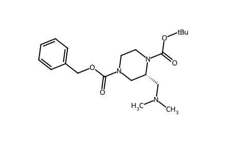 CN(C)C[C@@H]1CN(C(=O)OCc2ccccc2)CCN1C(=O)OC(C)(C)C